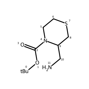 CC(C)(C)OC(=O)N1CCSCC1CN